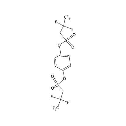 O=S(=O)(CC(F)(F)C(F)(F)F)Oc1ccc(OS(=O)(=O)CC(F)(F)C(F)(F)F)cc1